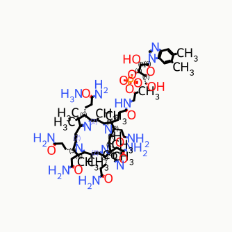 C/C1=C2N=C(/C=C3N=C(/C(C)=C4/[C@@H](CCC(N)=O)[C@](C)(CC(N)=O)[C@](C)([C@@H]5N=C1[C@](C)(CCC(=O)NCC(C)OP(=O)([O-])O[C@H]1[C@@H](O)[C@@H](n6cnc7cc(C)c(C)cc76)O[C@@H]1CO)[C@H]5CC(N)=O)[N]4[Co+][C]#N)[C@@](C)(CC(N)=O)[C@@H]\3CCC(N)=O)C(C)(C)[C@@H]/2CCC(N)=O.N